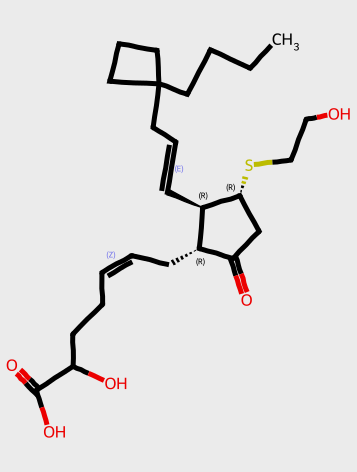 CCCCC1(C/C=C/[C@H]2[C@H](SCCO)CC(=O)[C@@H]2C/C=C\CCC(O)C(=O)O)CCC1